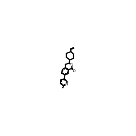 C=CC1CCC(C2Cc3ccc(-c4ccc(C)nn4)cc3C(=O)O2)CC1